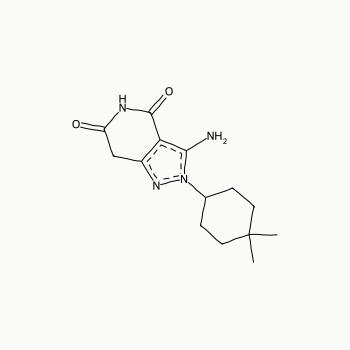 CC1(C)CCC(n2nc3c(c2N)C(=O)NC(=O)C3)CC1